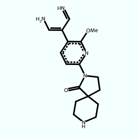 COc1nc(N2CCC3(CCNCC3)C2=O)ccc1/C(C=N)=C/N